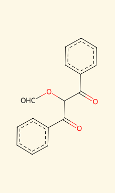 O=COC(C(=O)c1ccccc1)C(=O)c1ccccc1